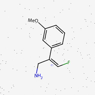 COc1cccc(/C(=C\F)CN)c1